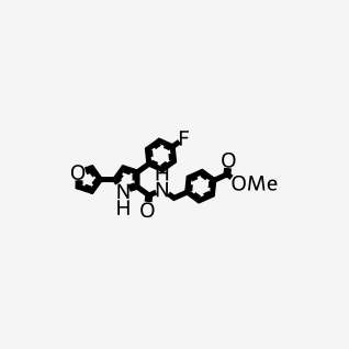 COC(=O)c1ccc(CNC(=O)c2[nH]c(-c3ccoc3)cc2-c2ccc(F)cc2)cc1